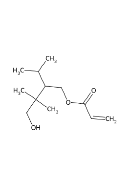 C=CC(=O)OCC(C(C)C)C(C)(C)CO